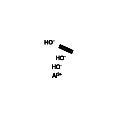 C=C.[Al+3].[OH-].[OH-].[OH-]